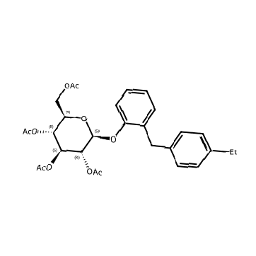 CCc1ccc(Cc2ccccc2O[C@@H]2O[C@H](COC(C)=O)[C@@H](OC(C)=O)[C@H](OC(C)=O)[C@H]2OC(C)=O)cc1